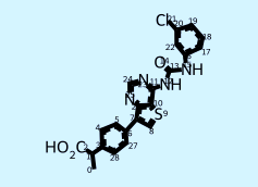 CC(C(=O)O)c1ccc(-c2csc3c(NC(=O)Nc4cccc(Cl)c4)ncnc23)cc1